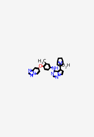 Cc1cc(Nc2ncnn3ccc(C4=CC5CCC(C4)N5C(=O)O)c23)ccc1Oc1ccn2ncnc2c1